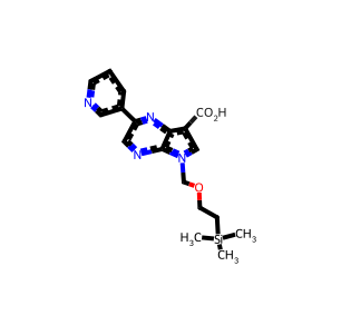 C[Si](C)(C)CCOCn1cc(C(=O)O)c2nc(-c3cccnc3)cnc21